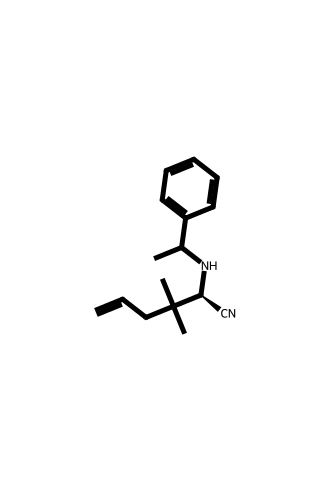 C=CCC(C)(C)[C@H](C#N)NC(C)c1ccccc1